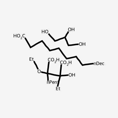 CCCCCC(OCC)(C(=O)O)C(O)(CC)C(=O)O.CCCCCCCCCCCCCCCCCC(=O)O.OCC(O)CO